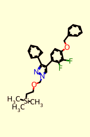 C[Si](C)(C)CCOCn1cc(-c2ccc(OCc3ccccc3)c(F)c2F)c(-c2ccccc2)n1